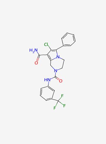 NC(=O)c1c(Cl)c(-c2ccccc2)n2c1CN(C(=O)Nc1cccc(C(F)(F)F)c1)CC2